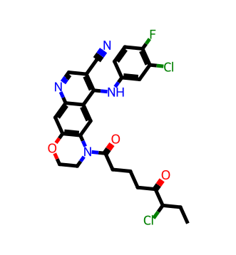 CCC(Cl)C(=O)CCCC(=O)N1CCOc2cc3ncc(C#N)c(Nc4ccc(F)c(Cl)c4)c3cc21